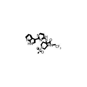 CS(=O)(=O)N1CCC(Nc2ccnc(-c3c[nH]c4ncccc34)n2)(C(=O)NCC(F)(F)F)CC1